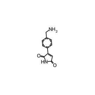 NCc1ccc(C2=CC(=O)NC2=O)cc1